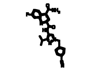 CC(C)c1nn(Cc2ccc(C#N)cc2)cc1NC(=O)c1cc(C(N)=O)c2ccc(F)cc2n1